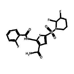 NC(=O)c1cc(S(=O)(=O)N2CCCC(F)C2F)sc1NC(=O)c1ccccc1F